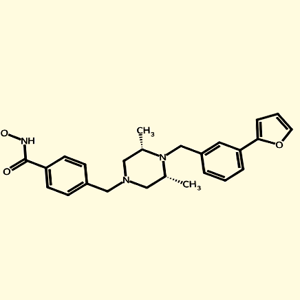 C[C@@H]1CN(Cc2ccc(C(=O)NO)cc2)C[C@H](C)N1Cc1cccc(-c2ccco2)c1